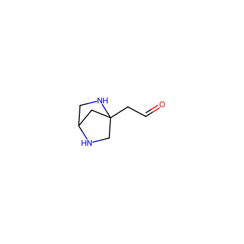 O=CCC12CNC(CN1)C2